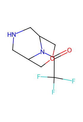 O=C(N1C2CNCC1COC2)C(F)(F)F